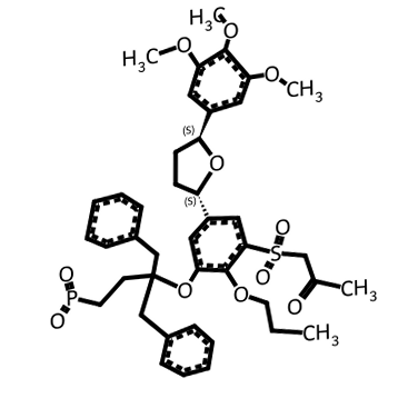 CCCOc1c(OC(CCP(=O)=O)(Cc2ccccc2)Cc2ccccc2)cc([C@@H]2CC[C@@H](c3cc(OC)c(OC)c(OC)c3)O2)cc1S(=O)(=O)CC(C)=O